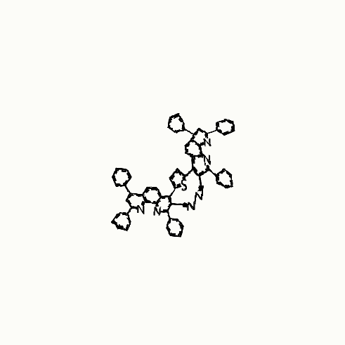 N#Cc1c(-c2ccccc2)nc2c(ccc3c(-c4ccccc4)cc(-c4ccccc4)nc32)c1-c1ccc(-c2c(C#N)c(-c3ccccc3)nc3c2ccc2c(-c4ccccc4)cc(-c4ccccc4)nc23)s1